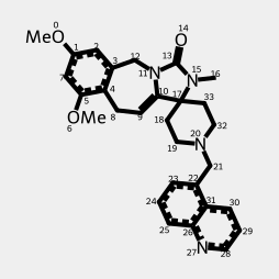 COc1cc2c(c(OC)c1)CC=C1N(C2)C(=O)N(C)C12CCN(Cc1cccc3ncccc13)CC2